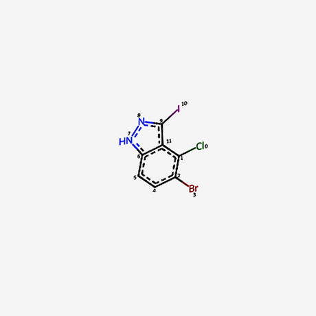 Clc1c(Br)ccc2[nH]nc(I)c12